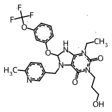 CCn1c2c(c(=O)n(CCCO)c1=O)N(Cc1ccc(C)nc1)C(Oc1cccc(OC(F)(F)F)c1)N2